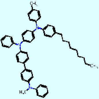 CCCCCCCCCc1ccc(N(c2ccc(C)cc2)c2ccc(N(c3ccccc3)c3ccc(-c4ccc(N(C)c5ccccc5)cc4)cc3)cc2)cc1